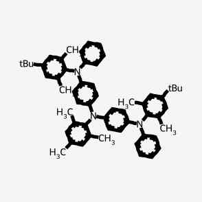 Cc1cc(C)c(N(c2ccc(N(c3ccccc3)c3c(C)cc(C(C)(C)C)cc3C)cc2)c2ccc(N(c3ccccc3)c3c(C)cc(C(C)(C)C)cc3C)cc2)c(C)c1